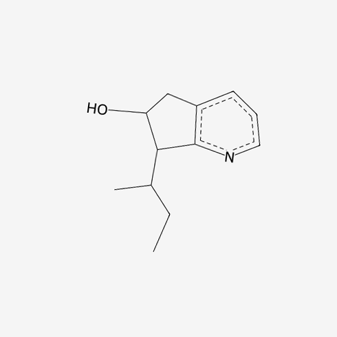 CCC(C)C1c2ncccc2CC1O